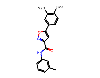 COc1ccc(-c2cc(C(=O)Nc3cccc(C)c3)no2)cc1OC